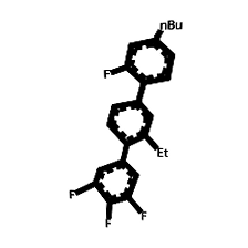 CCCCc1ccc(-c2ccc(-c3cc(F)c(F)c(F)c3)c(CC)c2)c(F)c1